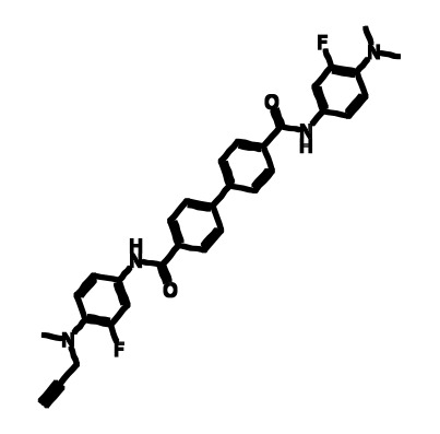 C#CCN(C)c1ccc(NC(=O)c2ccc(-c3ccc(C(=O)Nc4ccc(N(C)C)c(F)c4)cc3)cc2)cc1F